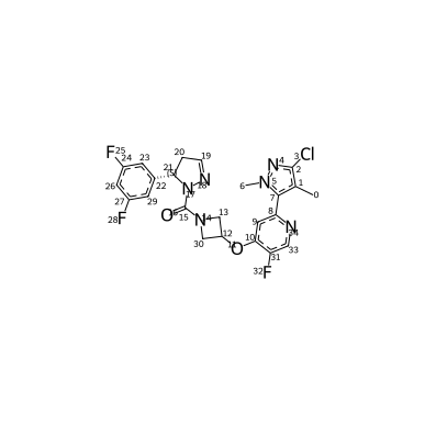 Cc1c(Cl)nn(C)c1-c1cc(OC2CN(C(=O)N3N=CC[C@H]3c3cc(F)cc(F)c3)C2)c(F)cn1